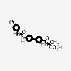 C=C(NC(=O)c1ccc(-c2ccc(NC(=O)Nc3ccc(C(C)C)cc3)cc2)cc1)C(=O)O